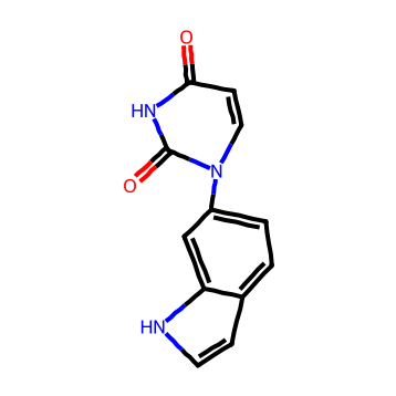 O=c1ccn(-c2ccc3cc[nH]c3c2)c(=O)[nH]1